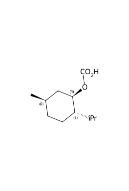 CC(C)[C@@H]1CC[C@@H](C)C[C@H]1OC(=O)O